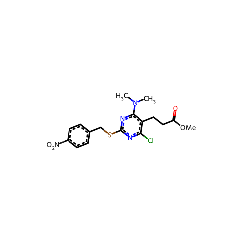 COC(=O)CCc1c(Cl)nc(SCc2ccc([N+](=O)[O-])cc2)nc1N(C)C